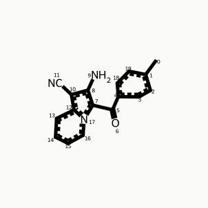 Cc1ccc(C(=O)c2c(N)c(C#N)c3ccccn23)cc1